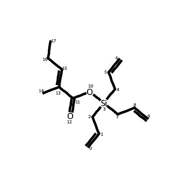 C=CC[Si](CC=C)(CC=C)OC(=O)C(C)=CCC